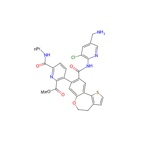 CCCNC(=O)c1ccc(-c2cc3c(cc2C(=O)Nc2ncc(CN)cc2Cl)-c2sccc2CCO3)c(C(=O)OC)n1